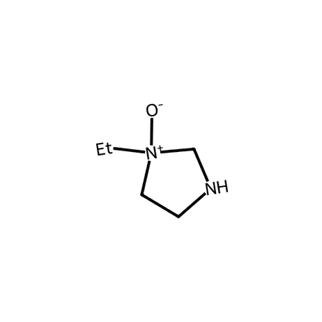 [CH2]C[N+]1([O-])CCNC1